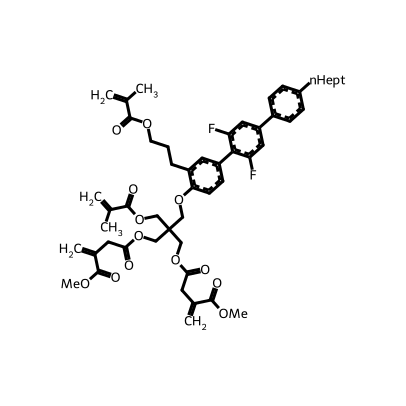 C=C(C)C(=O)OCCCc1cc(-c2c(F)cc(-c3ccc(CCCCCCC)cc3)cc2F)ccc1OCC(COC(=O)CC(=C)C(=O)OC)(COC(=O)CC(=C)C(=O)OC)COC(=O)C(=C)C